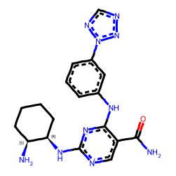 NC(=O)c1cnc(N[C@@H]2CCCC[C@@H]2N)nc1Nc1cccc(-n2ncnn2)c1